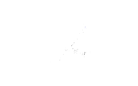 CCCCCCCC/C=C\CCCCCCCC(=O)OC(COC(=O)CCCCCCCCCCCCCCC)COP(=O)([O-])OCC[N+](C)(C)C